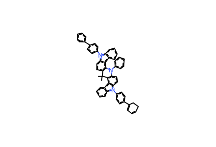 CC1(C)c2ccc3c(c2N(c2ccccc2)c2ccc4c(c21)c1ccccc1n4-c1ccc(C2=CC=CCC2)cc1)c1ccccc1n3-c1ccc(-c2ccccc2)cc1